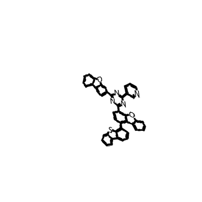 c1cncc(-c2nc(-c3ccc4c(c3)oc3ccccc34)nc(-c3ccc(-c4cccc5c4sc4ccccc45)c4c3oc3ccccc34)n2)c1